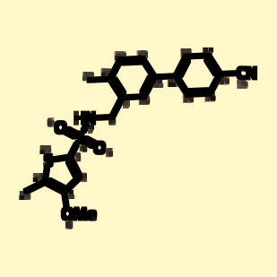 COc1cc(S(=O)(=O)NCc2cc(-c3ccc(C#N)cc3)ccc2C)sc1C